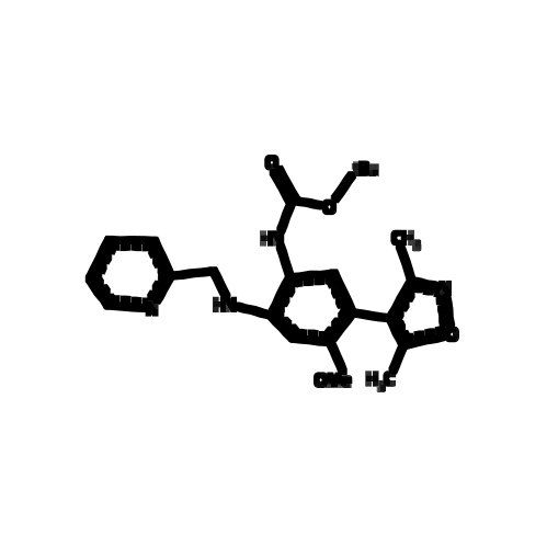 COc1cc(NCc2ccccn2)c(NC(=O)OC(C)(C)C)cc1-c1c(C)noc1C